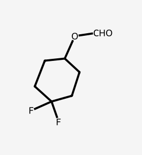 O=COC1CCC(F)(F)CC1